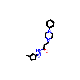 CC1=C/C(=N\NC(=O)CCN2CCN(c3ccccc3)CC2)CC1